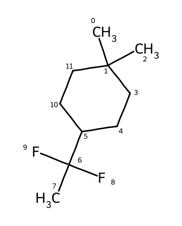 CC1(C)CCC(C(C)(F)F)CC1